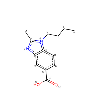 CCCCn1c(C)nc2cc(C(=O)O)ccc21